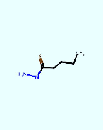 CCCCC(=S)NN